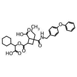 CCCC1(C(=O)NCc2ccc(Oc3ccccc3)cc2)CC(C(=O)OC(C(=O)O)C2CCCCC2)C1C(=O)O